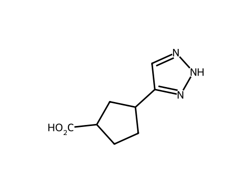 O=C(O)C1CCC(c2cn[nH]n2)C1